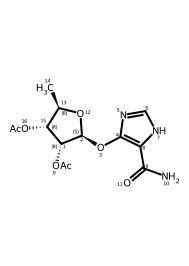 CC(=O)O[C@H]1[C@H](Oc2nc[nH]c2C(N)=O)O[C@H](C)[C@H]1OC(C)=O